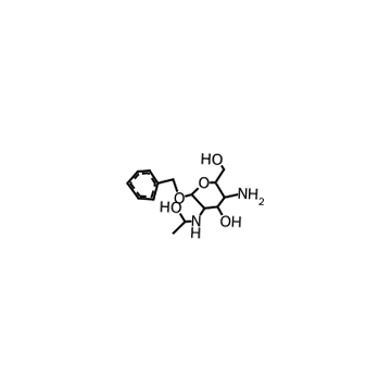 CC(O)NC1C(OCc2ccccc2)OC(CO)C(N)C1O